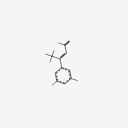 Cc1cc(C)cc(C(=CC(=O)P)C(F)(F)F)c1